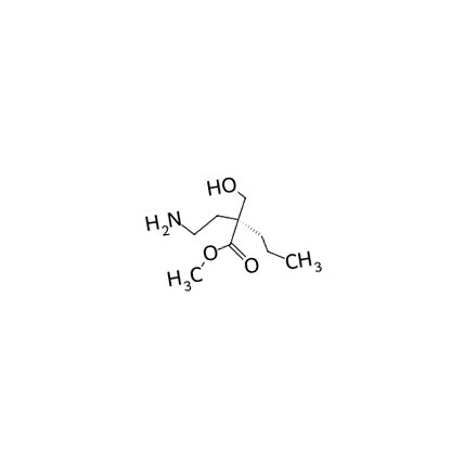 CCC[C@@](CO)(CCN)C(=O)OC